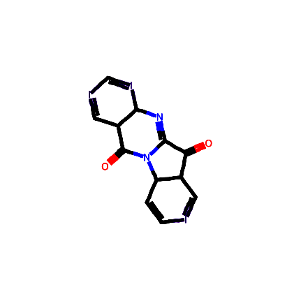 O=C1C2=NC3I=CI=CC3C(=O)N2C2C=CI=CC12